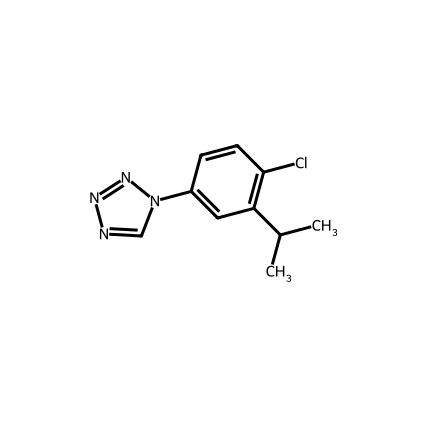 CC(C)c1cc(-n2cnnn2)ccc1Cl